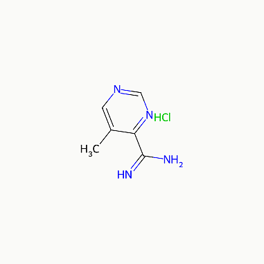 Cc1cncnc1C(=N)N.Cl